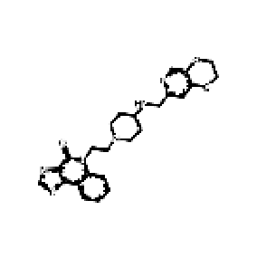 O=c1c2ncoc2c2ccccc2n1CCN1CCC(NCc2cc3c(cn2)OCCO3)CC1